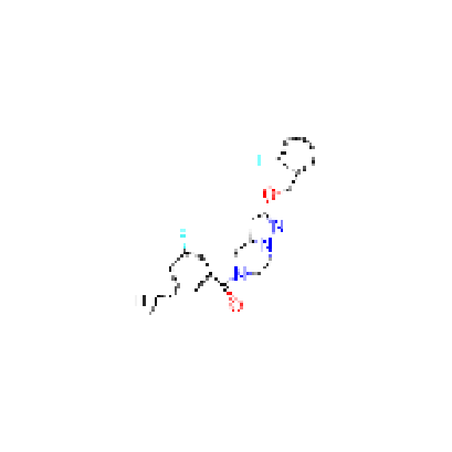 Cc1cc(F)cc(C(=O)N2CCn3nc(OCc4ccccc4F)cc3C2)c1